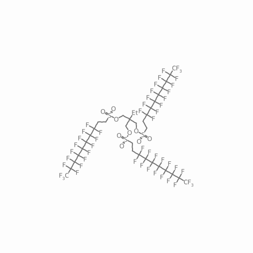 CCC(COS(=O)(=O)CCC(F)(F)C(F)(F)C(F)(F)C(F)(F)C(F)(F)C(F)(F)C(F)(F)C(F)(F)F)(COS(=O)(=O)CCC(F)(F)C(F)(F)C(F)(F)C(F)(F)C(F)(F)C(F)(F)C(F)(F)C(F)(F)F)COS(=O)(=O)CCC(F)(F)C(F)(F)C(F)(F)C(F)(F)C(F)(F)C(F)(F)C(F)(F)C(F)(F)F